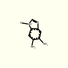 Nc1cc2c(cc1N)[NH+]([O-])C=N2